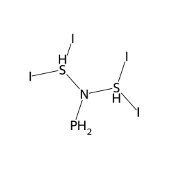 PN([SH](I)I)[SH](I)I